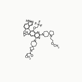 C=CC(=O)N1CC2(CCN(c3nc(N4CCC5(CCCN5CCOC)CC4)nc4c(OCC(F)(F)F)c(-c5c(C)ccc6[nH]ncc56)c(C5CC5)cc34)CC2)C1